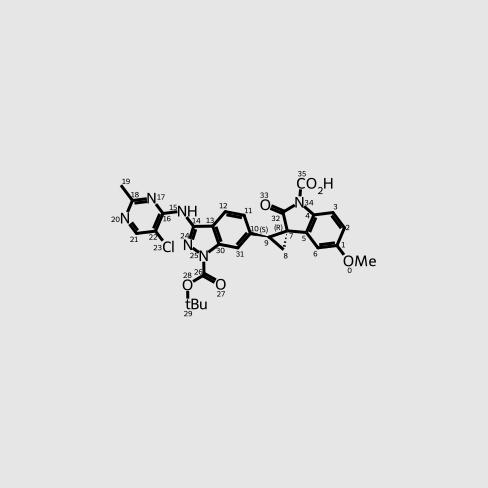 COc1ccc2c(c1)[C@]1(C[C@H]1c1ccc3c(Nc4nc(C)ncc4Cl)nn(C(=O)OC(C)(C)C)c3c1)C(=O)N2C(=O)O